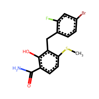 CSc1ccc(C(N)=O)c(O)c1Cc1ccc(Br)cc1F